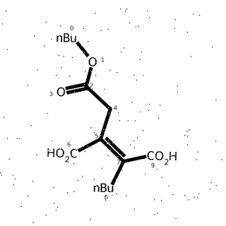 CCCCOC(=O)C/C(C(=O)O)=C(/CCCC)C(=O)O